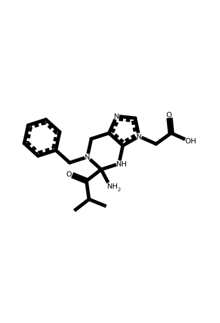 CC(C)C(=O)C1(N)Nc2c(ncn2CC(=O)O)CN1Cc1ccccc1